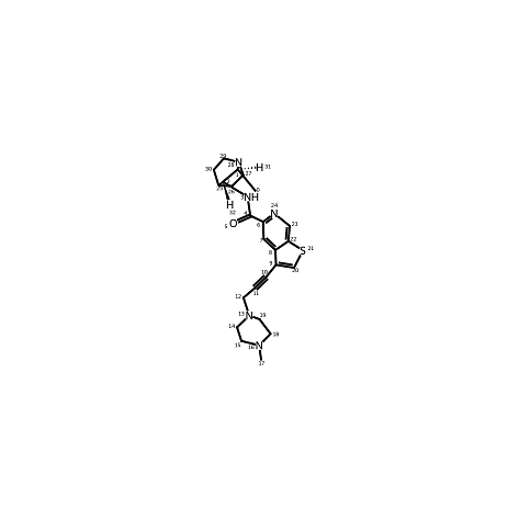 C[C@H]1[C@H](NC(=O)c2cc3c(C#CCN4CCN(C)CC4)csc3cn2)C2CCN1CC2